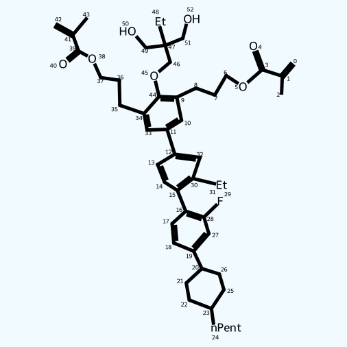 C=C(C)C(=O)OCCCc1cc(-c2ccc(-c3ccc(C4CCC(CCCCC)CC4)cc3F)c(CC)c2)cc(CCCOC(=O)C(=C)C)c1OCC(CC)(CO)CO